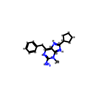 CCn1c(N)nc(Cc2ccccc2)c2nc(C3CCCC3)nc1-2